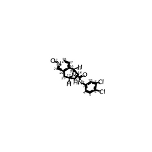 O=C(Nc1ccc(Cl)c(Cl)c1)N1[C@@H]2CC[C@H]1c1cc[n+]([O-])cc1C2